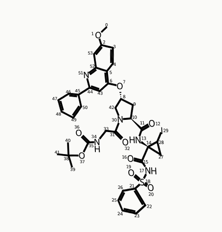 COc1ccc2c(O[C@@H]3C[C@@H](C(=O)N[C@]4(C(=O)NS(=O)(=O)c5ccccc5)CC4I)N(C(=O)CNC(=O)OC(C)(C)C)C3)cc(-c3ccccc3)nc2c1